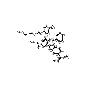 COCCOCOc1ccc(C#N)cc1-c1cc(C(=O)OC)cc(-c2nc3cc(C(=N)N)ccc3[nH]2)c1OCc1ccccc1